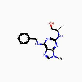 C=C(/N=C1\C(=C(/N)NCc2ccccc2)N=CN1C(C)C)N[C@@H](CC)CO